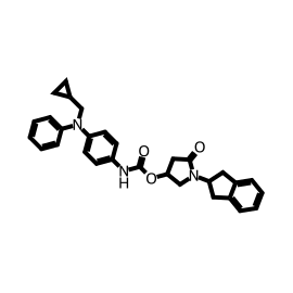 O=C(Nc1ccc(N(CC2CC2)c2ccccc2)cc1)OC1CC(=O)N(C2Cc3ccccc3C2)C1